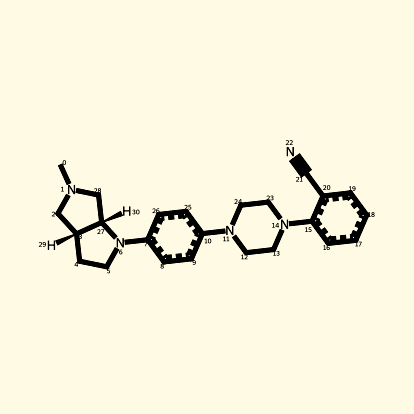 CN1C[C@H]2CCN(c3ccc(N4CCN(c5ccccc5C#N)CC4)cc3)[C@H]2C1